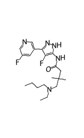 CCCCN(CC)CC(C)(C)CC(=O)Nc1[nH]nc(-c2cncc(F)c2)c1F